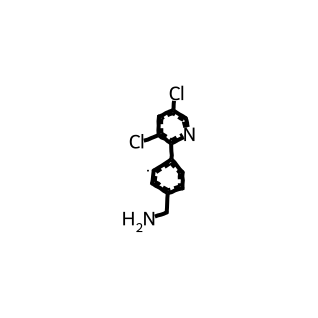 NCc1c[c]c(-c2ncc(Cl)cc2Cl)cc1